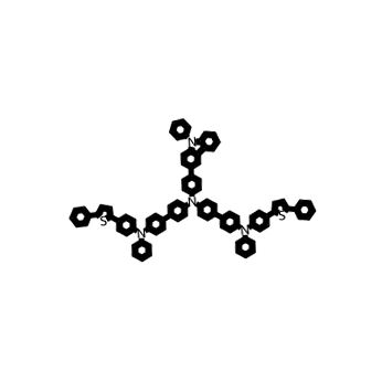 c1ccc(-c2ccc(-c3ccc(N(c4ccccc4)c4ccc(-c5ccc(N(c6ccc(-c7ccc(N(c8ccccc8)c8ccc(-c9ccc(-c%10ccccc%10)s9)cc8)cc7)cc6)c6ccc(-c7ccc8c(c7)c7ccccc7n8-c7ccccc7)cc6)cc5)cc4)cc3)s2)cc1